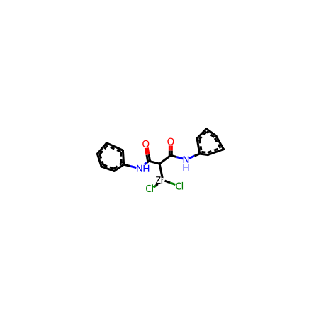 O=C(Nc1ccccc1)[CH](C(=O)Nc1ccccc1)[Zr]([Cl])[Cl]